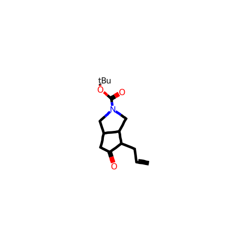 C=CCC1C(=O)CC2CN(C(=O)OC(C)(C)C)CC21